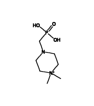 C[N+]1(C)CCN(CP(=O)(O)O)CC1